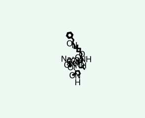 CC(C)C[C@H](NC(=O)OC1CC2(C1)CN(C(=O)Cc1ccccc1)C2)C(=O)N[C@@H](C[C@H]1CCNC1=O)C(O)S(=O)(=O)[O-].[Na+]